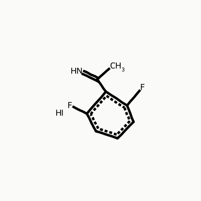 CC(=N)c1c(F)cccc1F.I